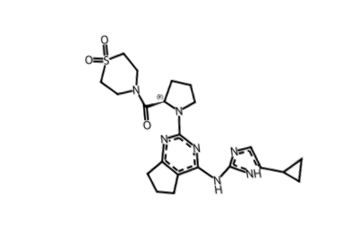 O=C([C@H]1CCCN1c1nc2c(c(Nc3ncc(C4CC4)[nH]3)n1)CCC2)N1CCS(=O)(=O)CC1